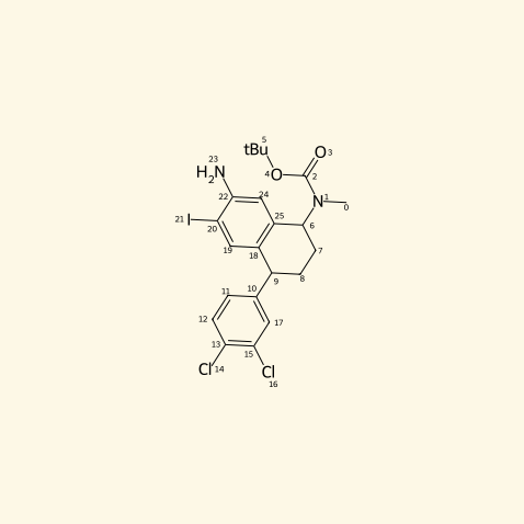 CN(C(=O)OC(C)(C)C)C1CCC(c2ccc(Cl)c(Cl)c2)c2cc(I)c(N)cc21